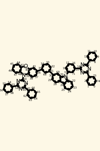 c1ccc(-c2nc(-c3ccccc3)nc(-c3cccc(-n4c5ccccc5c5ccc(-c6cccc(-c7ccc8c(c7)Oc7ccccc7N8c7nc(-c8ccccc8)nc(-c8ccccc8)n7)c6)cc54)c3)n2)cc1